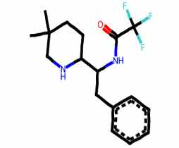 CC1(C)CCC(C(Cc2ccccc2)NC(=O)C(F)(F)F)NC1